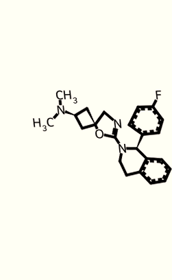 CN(C)[C@H]1C[C@]2(CN=C(N3CCc4ccccc4[C@@H]3c3ccc(F)cc3)O2)C1